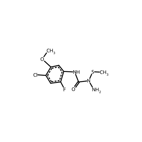 COc1cc(NC(=O)N(N)SC)c(F)cc1Cl